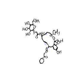 C[C@@H]1C/C=C/[C@H](NC(=O)CS[C@H]2O[C@H](CO)[C@H](O)C(O)C2O)C/C=C/C(=N/OCC(=O)N2CCCCC2)Cc2cc(O)cc(O)c2C(=O)O1